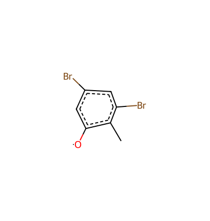 Cc1c([O])cc(Br)cc1Br